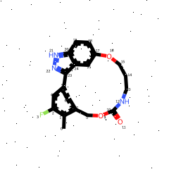 Cc1c(F)cc2cc1COC(=O)NCCCOc1ccc3[nH]nc-2c3c1